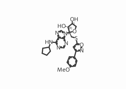 COc1ccc(-c2cc(SC[C@]3(n4cnc5c(NC6CCCC6)ncnc54)OC[C@H](O)[C@H]3O)on2)cc1